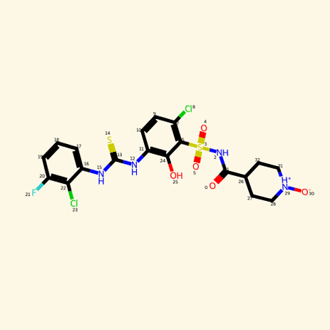 O=C(NS(=O)(=O)c1c(Cl)ccc(NC(=S)Nc2cccc(F)c2Cl)c1O)C1CC[NH+]([O-])CC1